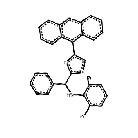 CC(C)c1cccc(C(C)C)c1NC(c1ccccc1)c1nc(-c2c3ccccc3cc3ccccc23)cs1